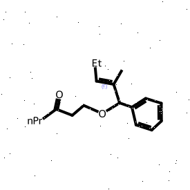 CC/C=C(\C)C(OCCC(=O)CCC)c1ccccc1